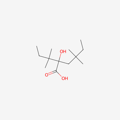 CCC(C)(C)CC(O)(C(=O)O)C(C)(C)CC